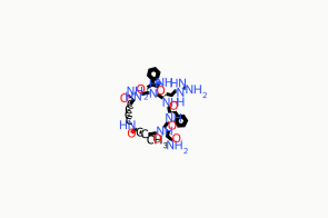 C[C@H]1CCC(=O)NCCCC[C@@H](C(N)=O)NC(=O)[C@H](Cc2c[nH]c3ccccc23)NC(=O)[C@H](CCCNC(=N)N)NC(=O)[C@@H](Cc2ccccc2)NC(=O)[C@H](CCC(N)=O)NC1=O